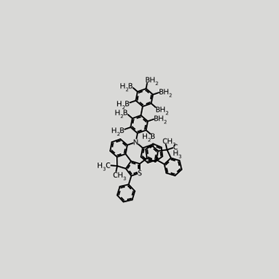 Bc1c(B)c(B)c(-c2c(B)c(B)c(N(c3ccc4c(c3)C(C)(C)c3ccccc3-4)c3cccc4c3-c3c(-c5ccccc5)sc(-c5ccccc5)c3C4(C)C)c(B)c2B)c(B)c1B